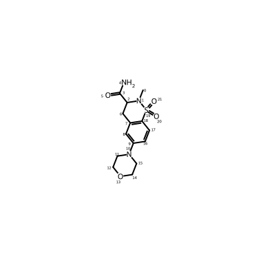 CN1C(C(N)=O)Cc2cc(N3CCOCC3)ccc2S1(=O)=O